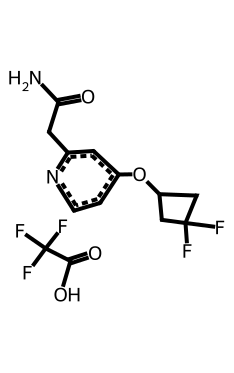 NC(=O)Cc1cc(OC2CC(F)(F)C2)ccn1.O=C(O)C(F)(F)F